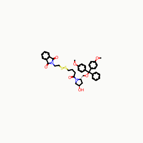 COc1ccc(C(OC[C@@H]2C[C@@H](O)CN2C(=O)CCCSSCCN2C(=O)c3ccccc3C2=O)(c2ccccc2)c2ccc(OC)cc2)cc1